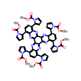 CC(C)(C)OC(=O)n1cccc1-c1ccc(-c2cccn2C(=O)OC(C)(C)C)c2nc3c(nc12)c1nc2c(-c4cccn4C(=O)OC(C)(C)C)ccc(-c4cccn4C(=O)OC(C)(C)C)c2nc1c1nc2c(-c4cccn4C(=O)OC(C)(C)C)ccc(-c4cccn4C(=O)OC(C)(C)C)c2nc31